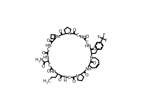 CCCC1NC(=O)CC(C(N)=O)NC(=O)CNC(=O)C2(CCC2)NC(=O)C2CCCN2C(=O)CNC(=O)CNC(=O)C(Cc2ccc(C(F)(F)F)cc2)N2CCC=CCC(NC(=O)C3CCCN3C(=O)CNC1=O)C2=O